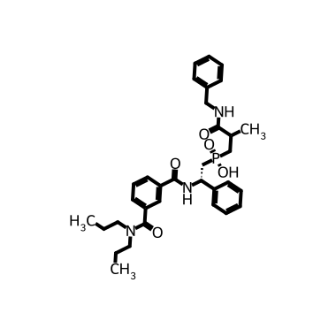 CCCN(CCC)C(=O)c1cccc(C(=O)N[C@H](CP(=O)(O)CC(C)C(=O)NCc2ccccc2)c2ccccc2)c1